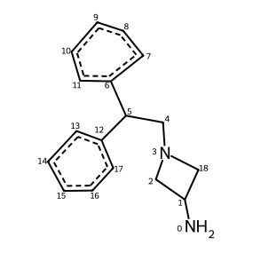 NC1CN(CC(c2ccccc2)c2ccccc2)C1